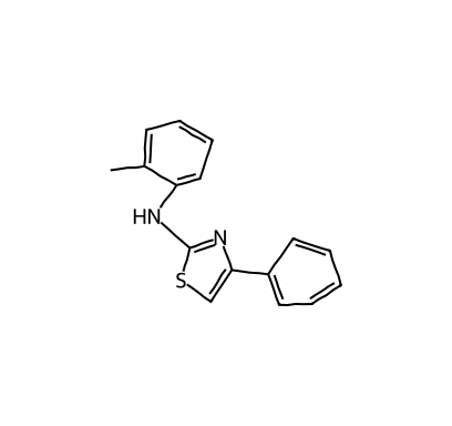 Cc1ccccc1Nc1nc(-c2ccccc2)cs1